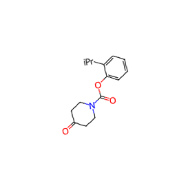 CC(C)c1ccccc1OC(=O)N1CCC(=O)CC1